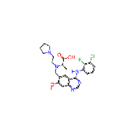 COc1cc2ncnc(Nc3cccc(Cl)c3F)c2cc1CN(CCN1CCCC1)[C@H](C)C(=O)O